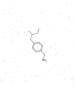 CCC(C)Cc1ccc(CN)cc1